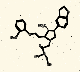 CCCON(CCC)C(=O)CN1C[C@H](c2ccc3c(c2)CCO3)[C@@H](C(=O)O)[C@@H]1CCOc1ccccc1OC